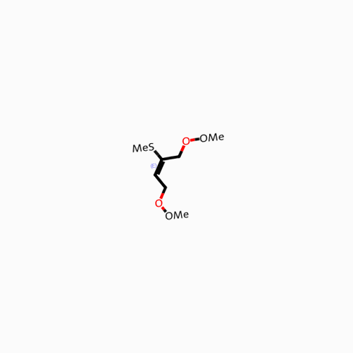 COOC/C=C(\COOC)SC